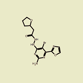 Nc1nc(NNC(=O)CC2CCCO2)c(Br)c(-c2ncco2)n1